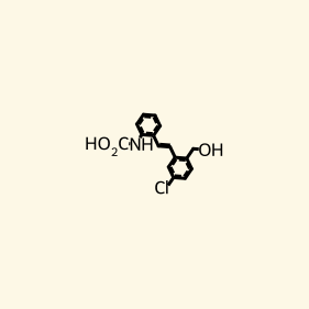 O=C(O)Nc1ccccc1/C=C/c1cc(Cl)ccc1CO